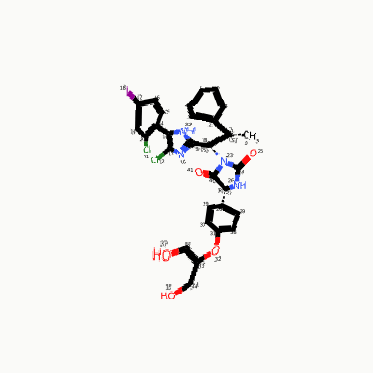 C[C@@H](c1ccccc1)[C@@H](c1nc(Cl)c(-c2ccc(I)cc2Cl)[nH]1)N1C(=O)N[C@H](c2ccc(OC(CO)CO)cc2)C1=O